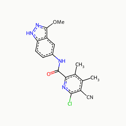 COc1n[nH]c2ccc(NC(=O)c3nc(Cl)c(C#N)c(C)c3C)cc12